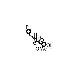 COc1cc2cc(C(=O)NCCCc3ccc(F)cc3)c(=O)oc2cc1O